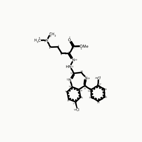 COC(=O)/C(CCCN(C)C)=N/NC1=Nc2ccc(Cl)cc2C(c2ccccc2Cl)=NC1